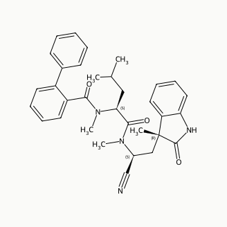 CC(C)C[C@@H](C(=O)N(C)[C@H](C#N)C[C@@]1(C)C(=O)Nc2ccccc21)N(C)C(=O)c1ccccc1-c1ccccc1